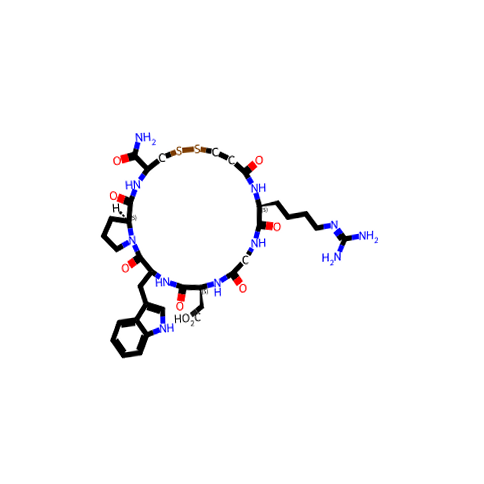 NC(=O)C1CSSCCC(=O)N[C@@H](CCCCN=C(N)N)C(=O)NCC(=O)N[C@@H](CC(=O)O)C(=O)NC(Cc2c[nH]c3ccccc23)C(=O)N2CCC[C@H]2C(=O)N1